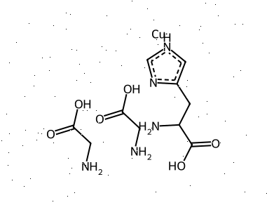 NC(Cc1c[nH]cn1)C(=O)O.NCC(=O)O.NCC(=O)O.[Cu]